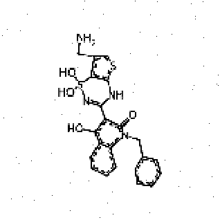 NCc1csc2c1S(O)(O)N=C(c1c(O)c3ccccc3n(Cc3ccccc3)c1=O)N2